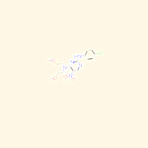 COCCN(CCOC)c1nc(Nc2ccc(Cl)cc2)ncc1[N+](=O)[O-]